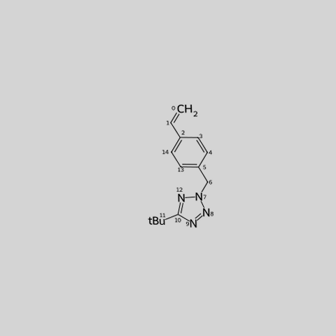 C=Cc1ccc(Cn2nnc(C(C)(C)C)n2)cc1